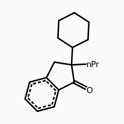 CCCC1(C2CCCCC2)Cc2ccccc2C1=O